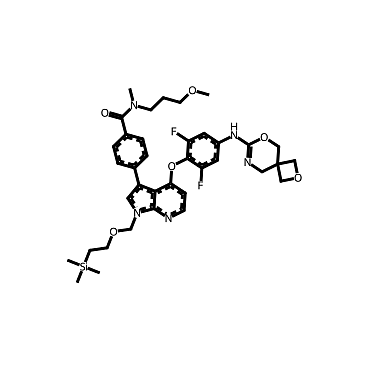 COCCCN(C)C(=O)c1ccc(-c2cn(COCC[Si](C)(C)C)c3nccc(Oc4c(F)cc(NC5=NCC6(COC6)CO5)cc4F)c23)cc1